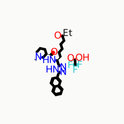 CCC(=O)CCCCC[C@H](NC(=O)[C@H]1CCCN(C)C1)c1nnc(-c2ccc3ccccc3c2)[nH]1.O=C(O)C(F)(F)F